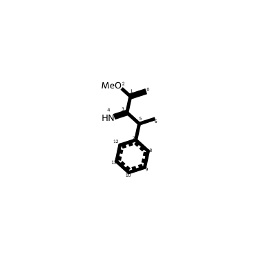 C=C(OC)C(=N)C(C)c1ccccc1